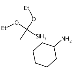 CCOC(C)([SiH3])OCC.NC1CCCCC1